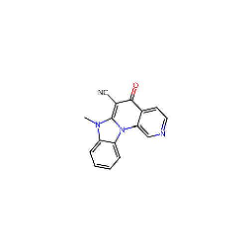 Cn1c2ccccc2n2c3cnccc3c(=O)c(C#N)c12